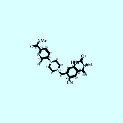 CCn1c(=O)[nH]c2cc(CN3CCN(c4ccc(C(=O)NC)nc4F)CC3)c(C#N)cc2c1=S